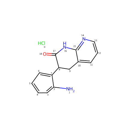 Cl.Nc1ccccc1C1Cc2cccnc2NC1=O